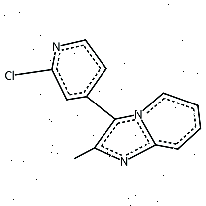 Cc1nc2ccccn2c1-c1ccnc(Cl)c1